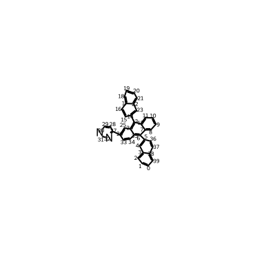 c1ccc2cc(-c3c4ccccc4c(-c4ccc5ccccc5c4)c4cc(-c5ccncn5)ccc34)ccc2c1